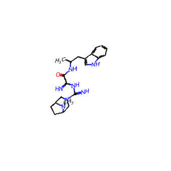 CC(Cc1c[nH]c2ccccc12)NC(=O)C(=N)NC(=N)N1CC2CCC(C1)N2C